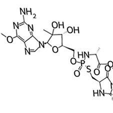 COC(=O)[C@@H](C)NP(=O)(OC[C@H]1O[C@@H](n2cnc3c(OC)nc(N)nc32)C(C)(O)[C@@H]1O)SC[C@@H]1NC(=O)NC1=O